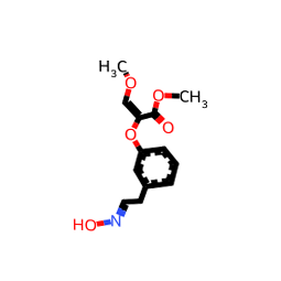 COC=C(Oc1cccc(CC=NO)c1)C(=O)OC